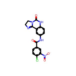 O=C(Nc1ccc2c(c1)C1=NCCN1C(=O)N2)c1ccc(Cl)c([N+](=O)[O-])c1